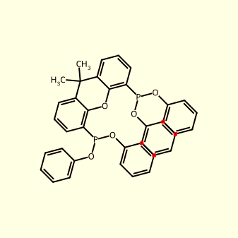 CC1(C)c2cccc(P(Oc3ccccc3)Oc3ccccc3)c2Oc2c(P(Oc3ccccc3)Oc3ccccc3)cccc21